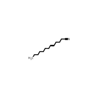 CCCCCCCC=CCCCC#N